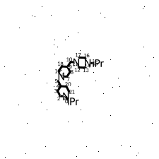 CC(C)N1CCC(CN2CCC(CN3CCN(C(C)C)CC3)CC2)CC1